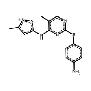 Cc1cc(Nc2nc(Sc3ccc(N)cc3)ncc2C)n[nH]1